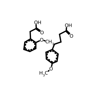 COc1ccc(CCCC(=O)O)cc1.COc1ccccc1CC(=O)O